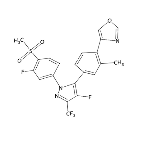 Cc1cc(-c2c(F)c(C(F)(F)F)nn2-c2ccc(S(C)(=O)=O)c(F)c2)ccc1-c1cocn1